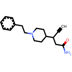 C#CC(CC(N)=O)C1CCN(CCc2ccccc2)CC1